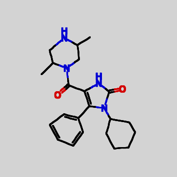 CC1CN(C(=O)c2[nH]c(=O)n(C3CCCCC3)c2-c2ccccc2)C(C)CN1